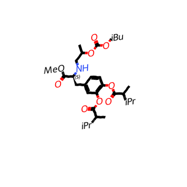 CCC(C)OC(=O)OC(C)CN[C@@H](Cc1ccc(OC(=O)C(C)C(C)C)c(OC(=O)C(C)C(C)C)c1)C(=O)OC